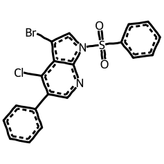 O=S(=O)(c1ccccc1)n1cc(Br)c2c(Cl)c(-c3ccccc3)cnc21